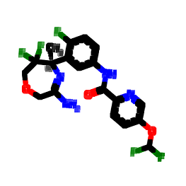 C[C@]1(c2cc(NC(=O)c3ccc(OC(F)F)cn3)ccc2F)N=C(N)COCC1(F)F